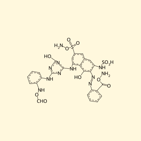 NOC(=O)c1ccccc1N=Nc1c(NS(=O)(=O)O)cc2cc(S(=O)(=O)ON)cc(Nc3nc(O)nc(Nc4ccccc4NOC=O)n3)c2c1O